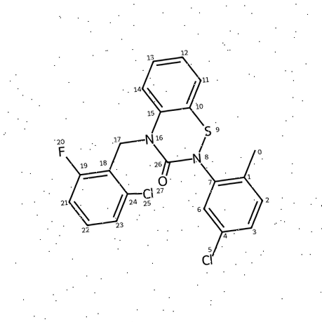 Cc1ccc(Cl)cc1N1Sc2ccccc2N(Cc2c(F)cccc2Cl)C1=O